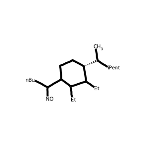 CCCCC(N=O)C1CC[C@H](C(C)C(C)CCC)C(CC)C1CC